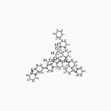 CC1(C)c2cc(-c3ccccc3)ccc2-c2ccc(N(c3ccc4c(c3)C(C)(C)c3cc(-c5ccc6sc7ccccc7c6c5)ccc3-4)c3ccc4c5c(cccc35)-c3ccccc3-4)cc21